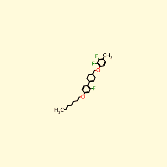 CCCCCCCOc1ccc(C2=CCC(COc3ccc(C)c(F)c3F)CC2)c(F)c1